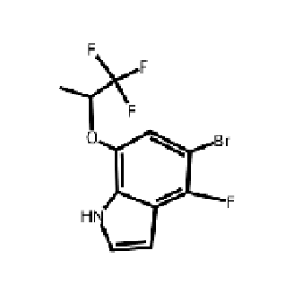 CC(Oc1cc(Br)c(F)c2cc[nH]c12)C(F)(F)F